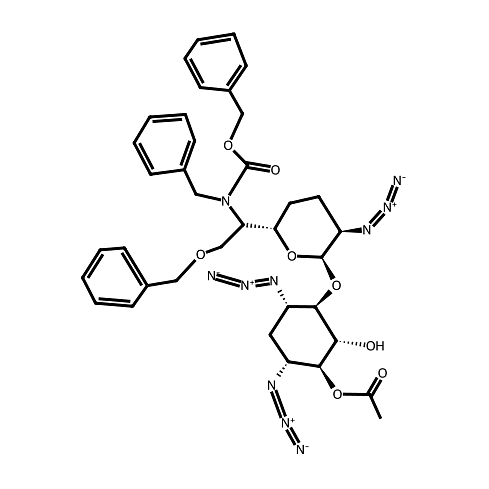 CC(=O)O[C@@H]1[C@@H](O)[C@H](O[C@H]2O[C@H](C(COCc3ccccc3)N(Cc3ccccc3)C(=O)OCc3ccccc3)CC[C@H]2N=[N+]=[N-])[C@@H](N=[N+]=[N-])C[C@H]1N=[N+]=[N-]